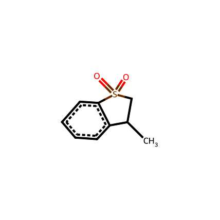 CC1CS(=O)(=O)c2ccccc21